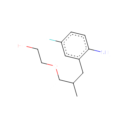 CC(Cc1cc(F)ccc1N)[C@H](C)OCCO